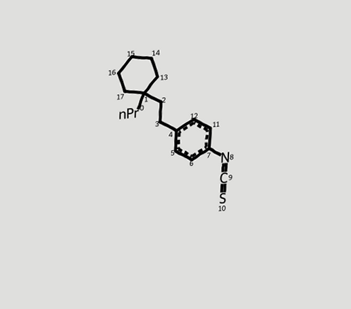 CCCC1(CCc2ccc(N=C=S)cc2)CCCCC1